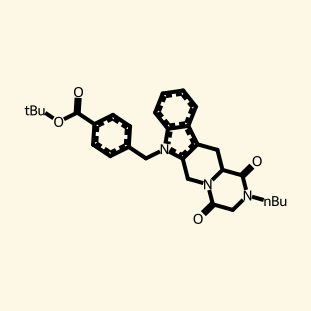 CCCCN1CC(=O)N2Cc3c(c4ccccc4n3Cc3ccc(C(=O)OC(C)(C)C)cc3)CC2C1=O